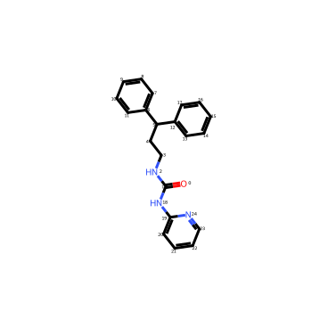 O=C(NCCC(c1ccccc1)c1ccccc1)Nc1ccccn1